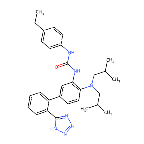 CCc1ccc(NC(=O)Nc2cc(-c3ccccc3-c3nnn[nH]3)ccc2N(CC(C)C)CC(C)C)cc1